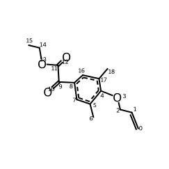 C=CCOc1c(C)cc(C(=O)C(=O)OCC)cc1C